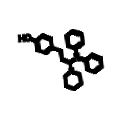 Oc1ccc(CCC(N2CCCCC2)N(c2ccccc2)c2ccccc2)cc1